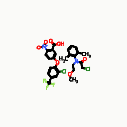 COCCN(C(=O)CCl)c1c(C)cccc1C.O=C(O)c1cc(Oc2ccc(C(F)(F)F)cc2Cl)ccc1[N+](=O)[O-]